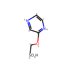 O=S(=O)(O)COc1cnccn1